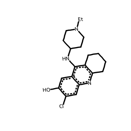 CCN1CCC(Nc2c3c(nc4cc(Cl)c(O)cc24)CCCC3)CC1